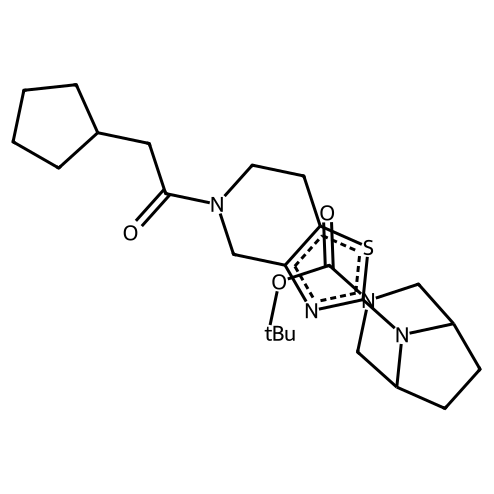 CC(C)(C)OC(=O)N1CC2CCC(C1)N2c1nc2c(s1)CCN(C(=O)CC1CCCC1)C2